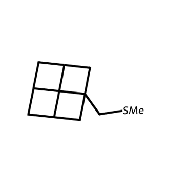 CSCC12CC3CC4CC(C1)C432